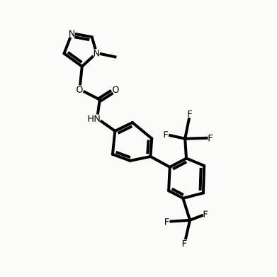 Cn1cncc1OC(=O)Nc1ccc(-c2cc(C(F)(F)F)ccc2C(F)(F)F)cc1